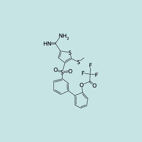 CSc1sc(C(=N)N)cc1S(=O)(=O)c1cccc(-c2ccccc2OC(=O)C(F)(F)F)c1